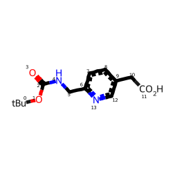 CC(C)(C)OC(=O)NCc1ccc(CC(=O)O)cn1